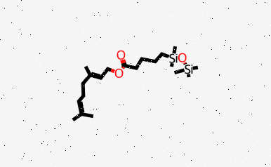 CC(C)=CCCC(C)=CCOC(=O)CCCC[Si](C)(C)O[Si](C)(C)C